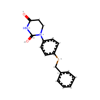 O=C1CCN(c2ccc(SCc3ccccc3)cc2)C(=O)N1